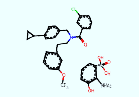 CC(=O)Nc1c(O)cccc1[As](=O)(O)O.O=C(c1cccc(Cl)c1)N(CCc1cccc(OC(F)(F)F)c1)Cc1ccc(C2CC2)cc1